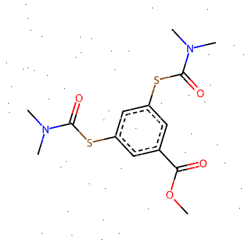 COC(=O)c1cc(SC(=O)N(C)C)cc(SC(=O)N(C)C)c1